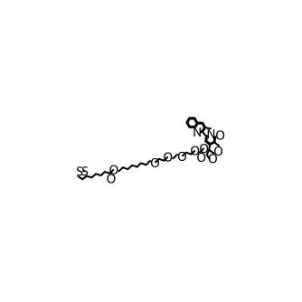 CCC1(OC(=O)OCCOCCOCCOCCCCCCCCOC(=O)CCCCC2CCSS2)C(=O)OCc2c1cc1n(c2=O)Cc2cc3ccccc3nc2-1